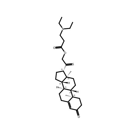 CCN(CC)CCC(=O)OCC(=S)[C@H]1CC[C@H]2[C@@H]3CCC4=CC(=O)CC[C@]4(C)[C@H]3CC[C@]12C